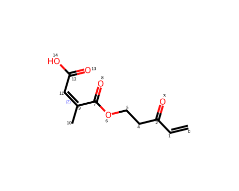 C=CC(=O)CCOC(=O)/C(C)=C\C(=O)O